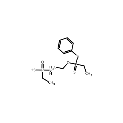 CCOP(=S)(CC)Sc1ccccc1.CCP(=O)(S)S